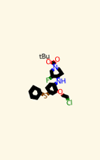 CC(C)(C)OC(=O)N1CCC(Nc2ccc(Sc3ccccc3)cc2OCCCl)C(F)C1